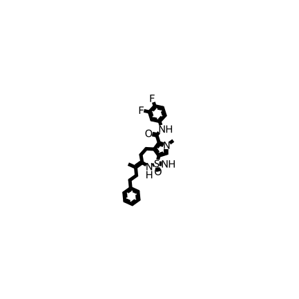 C/C(CCc1ccccc1)=C1\CCc2c(cn(C)c2C(=O)Nc2ccc(F)c(F)c2)S(=N)(=O)N1